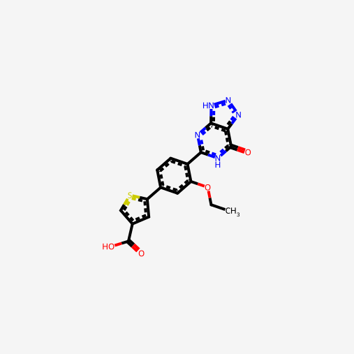 CCOc1cc(-c2cc(C(=O)O)cs2)ccc1-c1nc2[nH]nnc2c(=O)[nH]1